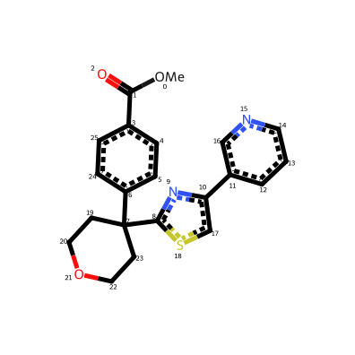 COC(=O)c1ccc(C2(c3nc(-c4cccnc4)cs3)CCOCC2)cc1